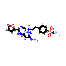 NC1=N[N+]2(NCCc3ccc(S(N)(=O)=O)cc3)C=NC(c3ccco3)=NC2=C1